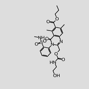 CCCOC(=O)c1c(C)cc2nc(COC(=O)NCCO)n(-c3ccccc3S(=O)(=O)NC)c(=O)c2c1C